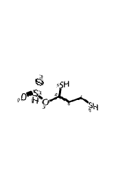 O=[SH](=O)OC(S)CCS